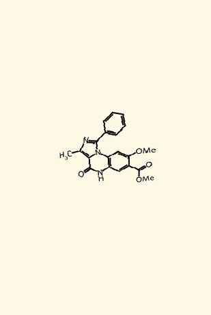 COC(=O)c1cc2[nH]c(=O)c3c(C)nc(-c4ccccc4)n3c2cc1OC